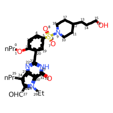 CCCOc1ccc(S(=O)(=O)N2CCC(CCCO)CC2)cc1-c1nc2c(CCC)c(C=O)n(CC)c2c(=O)[nH]1